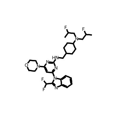 CC(F)CN(CC(C)F)C1CCC(CNc2nc(N3CCOCC3)cc(-n3c(C(F)F)nc4ccccc43)n2)CC1